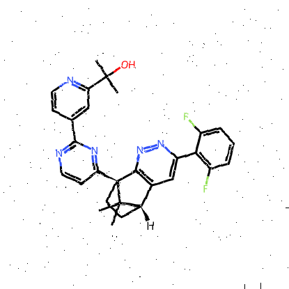 CC(C)(O)c1cc(-c2nccc([C@@]34CC[C@@H](c5cc(-c6c(F)cccc6F)nnc53)C4(C)C)n2)ccn1